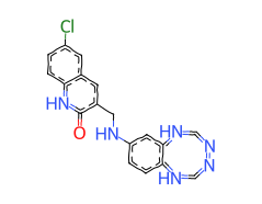 O=c1[nH]c2ccc(Cl)cc2cc1CNc1ccc2[nH]cnnc[nH]c2c1